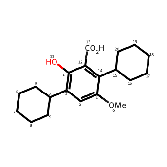 COc1cc(C2CCCCC2)c(O)c(C(=O)O)c1C1CCCCC1